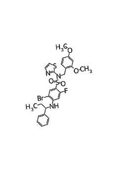 CCC(Nc1cc(F)c(S(=O)(=O)N(Cc2ccc(OC)cc2OC)c2nccs2)cc1Br)c1ccccc1